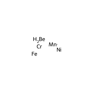 [BeH2].[Cr].[Fe].[Mn].[Ni]